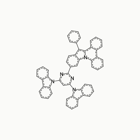 c1ccc(-c2c3ccc(-c4nc(-n5c6ccccc6c6ccccc65)cc(-n5c6ccccc6c6ccccc65)n4)cc3n3c4ccccc4c4ccccc4c23)cc1